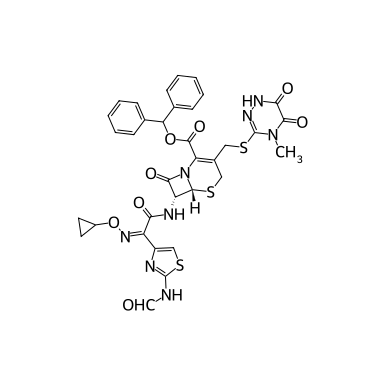 Cn1c(SCC2=C(C(=O)OC(c3ccccc3)c3ccccc3)N3C(=O)[C@@H](NC(=O)/C(=N\OC4CC4)c4csc(NC=O)n4)[C@H]3SC2)n[nH]c(=O)c1=O